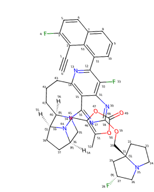 C#Cc1c(F)ccc2cccc(-c3nc4c5c(nc(OC[C@@]67CCCN6C[C@H](F)C7)nc5c3F)N3C[C@H]5CC[C@@H]([C@H]3CCC4)N5Cc3oc(=O)oc3C)c12